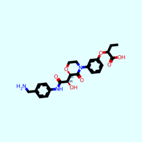 CCC(Oc1cccc(N2CCO[C@H]([C@@H](O)C(=O)Nc3ccc(CN)cc3)C2=O)c1)C(=O)O